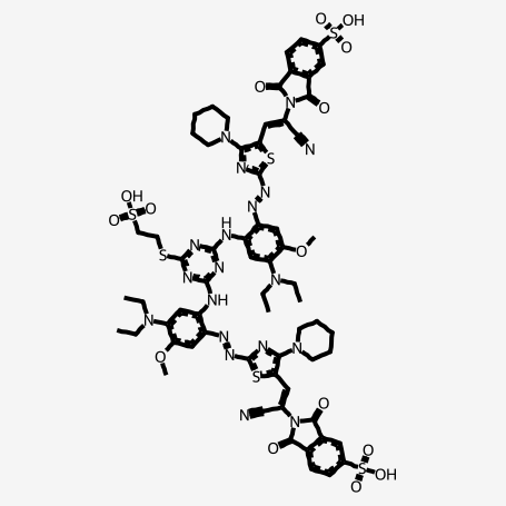 CCN(CC)c1cc(Nc2nc(Nc3cc(N(CC)CC)c(OC)cc3/N=N/c3nc(N4CCCCC4)c(/C=C(\C#N)N4C(=O)c5ccc(S(=O)(=O)O)cc5C4=O)s3)nc(SCCS(=O)(=O)O)n2)c(/N=N/c2nc(N3CCCCC3)c(/C=C(\C#N)N3C(=O)c4ccc(S(=O)(=O)O)cc4C3=O)s2)cc1OC